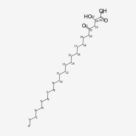 CCCCCCCCCCCCCCCCCCCCCC(=O)CC(O)C(=O)O